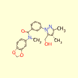 Cc1nn(-c2cccc(C(=O)N(C)c3ccc4c(c3)OCO4)c2)c(CO)c1C